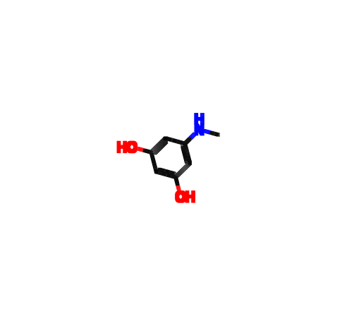 CNc1cc(O)cc(O)c1